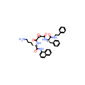 NCCCC[C@H](NC(=O)C1OC1C(=O)N[C@H](Cc1ccccc1)C(=O)NCCc1ccccc1)C(=O)Nc1cccc2ccccc12